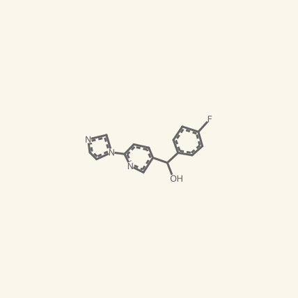 OC(c1ccc(F)cc1)c1ccc(-n2ccnc2)nc1